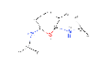 CCC(NC(C)C)OC(CC)NC(C)C